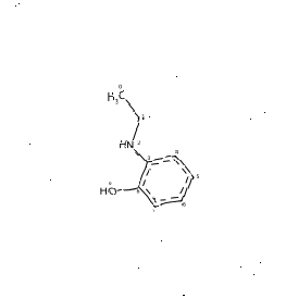 CCNc1ccccc1O